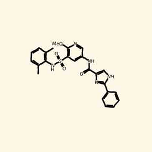 COc1ncc(NC(=O)c2c[nH]c(-c3ccccc3)n2)cc1S(=O)(=O)Nc1c(C)cccc1C